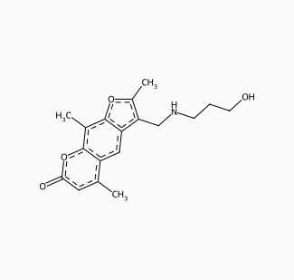 Cc1oc2c(C)c3oc(=O)cc(C)c3cc2c1CNCCCO